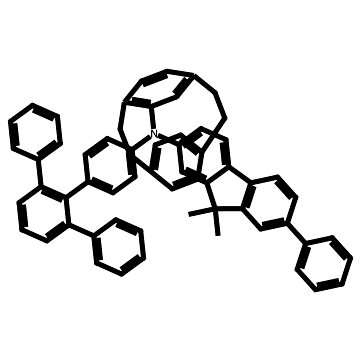 CC1(C)c2cc(-c3ccccc3)ccc2-c2ccc(N(c3ccc(-c4c(-c5ccccc5)cccc4-c4ccccc4)cc3)c3cc4ccc3CCc3ccc(cc3)CC4)cc21